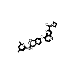 Cc1cc(C)nc(NC(=O)Cc2ccc(Oc3ccnc4cc(C(=O)N5CCC5)sc34)cc2Cl)c1